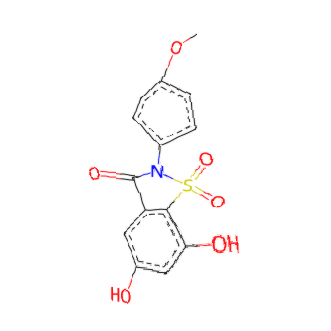 COc1ccc(N2C(=O)c3cc(O)cc(O)c3S2(=O)=O)cc1